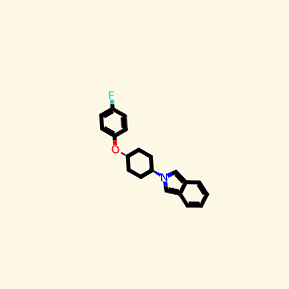 Fc1ccc(O[C@H]2CC[C@H](n3cc4ccccc4c3)CC2)cc1